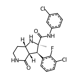 C[C@@]1(C(=O)Nc2cccc(Cl)c2)N[C@H]2CCNC(=O)[C@H]2[C@@H]1c1cccc(Cl)c1F